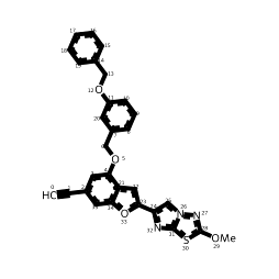 C#Cc1cc(OCc2cccc(OCc3ccccc3)c2)c2cc(-c3cn4nc(OC)sc4n3)oc2c1